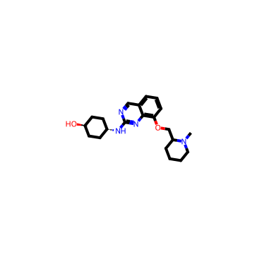 CN1CCCCC1COc1cccc2cnc(N[C@H]3CC[C@H](O)CC3)nc12